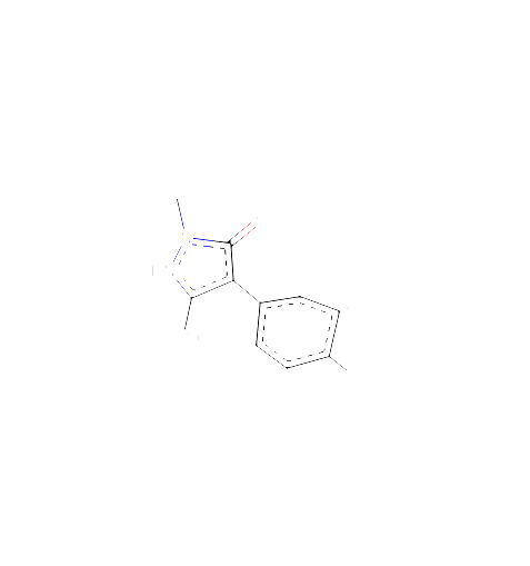 Cc1ccc(-c2c(C(C)(C)C)[nH]n(C(C)(C)C)c2=O)cc1